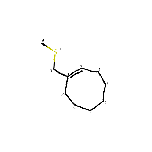 CSCC1=CCCCCCC1